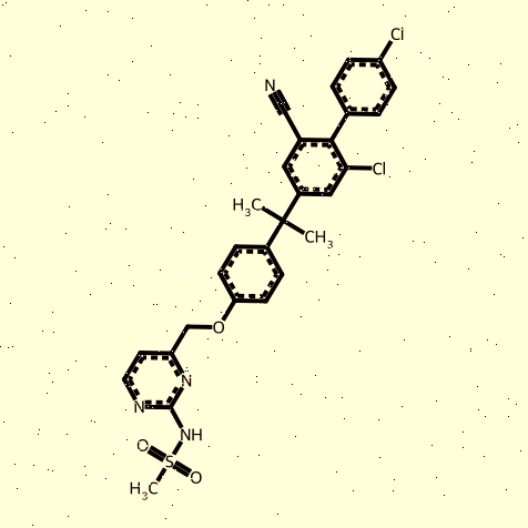 CC(C)(c1ccc(OCc2ccnc(NS(C)(=O)=O)n2)cc1)c1cc(Cl)c(-c2ccc(Cl)cc2)c(C#N)c1